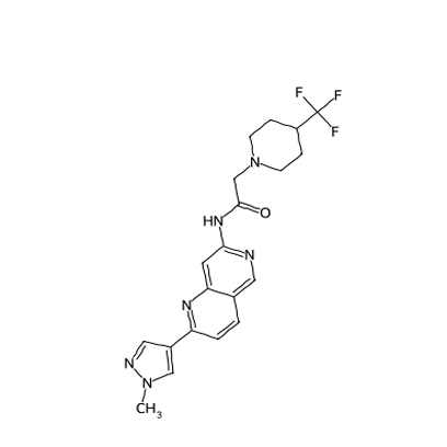 Cn1cc(-c2ccc3cnc(NC(=O)CN4CCC(C(F)(F)F)CC4)cc3n2)cn1